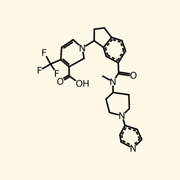 CN(C(=O)c1ccc2c(c1)C(N1C=CC(C(F)(F)F)=C(C(=O)O)C1)CC2)C1CCN(c2ccncc2)CC1